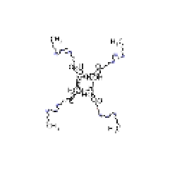 CCCCC/C=C\C/C=C\C/C=C\CCCCC(=O)OCC(O)CN1CCCN(CC(O)COC(=O)CCCC/C=C\C/C=C\C/C=C\CCCCC)CCN(CC(O)COC(=O)CCCC/C=C\C/C=C\C/C=C\CCCCC)CCCN(CC(O)COC(=O)CCCC/C=C\C/C=C\C/C=C\CCCCC)CC1